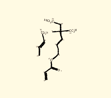 C=CC(=O)OCCCC(C)(CC(=O)O)C(=O)O.CC=CC(=O)O